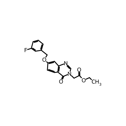 CCOC(=O)Cn1cnc2cc(OCc3cccc(F)c3)ccc2c1=O